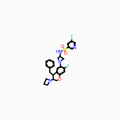 O=S(=O)(NC1CN(c2cc3c(cc2F)OCC(N2CCC2)C3Cc2ccccc2)C1)c1cncc(F)c1